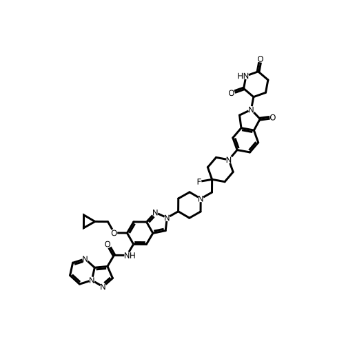 O=C1CCC(N2Cc3cc(N4CCC(F)(CN5CCC(n6cc7cc(NC(=O)c8cnn9cccnc89)c(OCC8CC8)cc7n6)CC5)CC4)ccc3C2=O)C(=O)N1